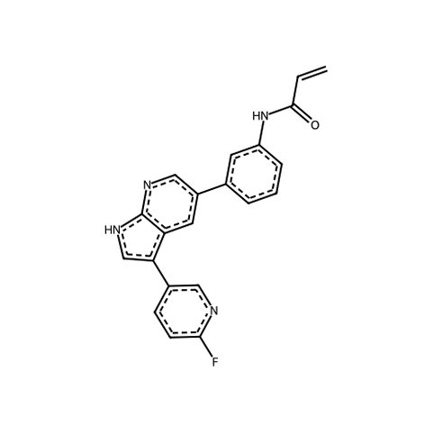 C=CC(=O)Nc1cccc(-c2cnc3[nH]cc(-c4ccc(F)nc4)c3c2)c1